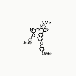 CNc1nc(SCc2cncc(OCCO[Si](C)(C)C(C)(C)C)c2)c2c(-c3ccc4ncc(OCc5ccc(OC)cc5)cc4c3)cn(C)c2n1